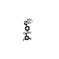 Nc1ncc(-c2ccc(NC(=O)c3cc(F)cc(F)c3)cc2)[nH]1